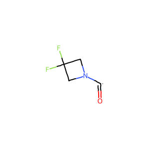 O=[C]N1CC(F)(F)C1